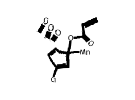 C=CC(=O)O[C]1([Mn])C=CC(Cl)=C1.[C]=O.[C]=O.[C]=O